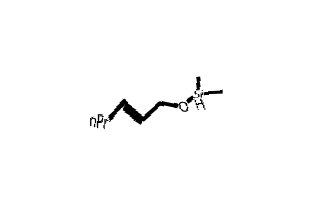 CCCC=CCO[SiH](C)C